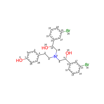 Oc1ccc(CCN(CC(O)c2cccc(Br)c2)CC(O)c2cccc(Br)c2)cc1